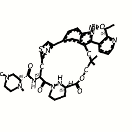 CCn1c(-c2cccnc2[C@H](C)OC)c2c3cc(ccc31)-c1csc(n1)C[C@H](NC(=O)[C@H]1CN(C(C)=O)CCN1C)C(=O)N1CCC[C@H](N1)C(=O)OCC(C)(C)C2